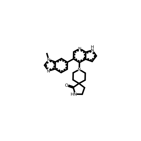 Cn1cnc2ccc(-c3cnc4[nH]ccc4c3N3CCC4(CCNC4=O)CC3)cc21